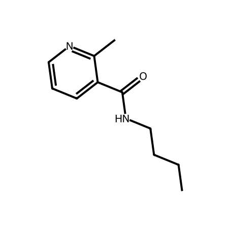 CCCCNC(=O)c1cccnc1C